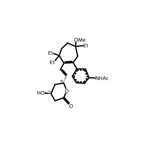 CCC1(OC)CCC(CC)(CC)C(C=C[C@H]2C[C@H](O)CC(=O)O2)=C(c2cccc(NC(C)=O)c2)C1